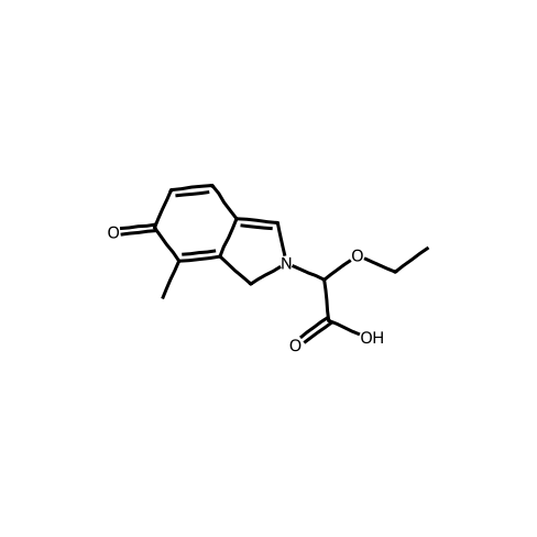 CCOC(C(=O)O)N1C=C2C=CC(=O)C(C)=C2C1